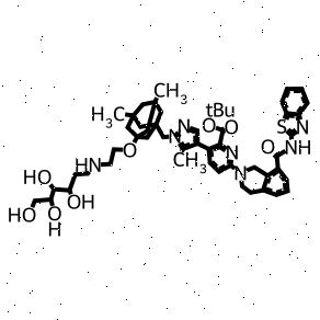 Cc1c(-c2ccc(N3CCc4cccc(C(=O)Nc5nc6ccccc6s5)c4C3)nc2C(=O)OC(C)(C)C)cnn1CC12CC3(C)CC(C)(C1)CC(OCCNCCC(O)C(O)C(O)CO)(C3)C2